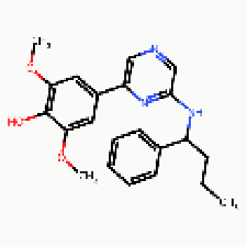 CCCC(Nc1cncc(-c2cc(OC)c(O)c(OC)c2)n1)c1ccccc1